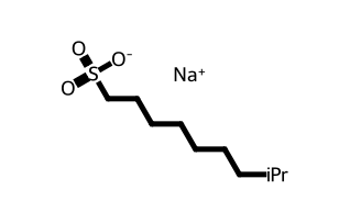 CC(C)CCCCCCCS(=O)(=O)[O-].[Na+]